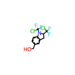 OCc1ccc2c(c1)CC(C(F)(F)Cl)N2C(F)(F)Cl